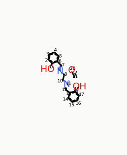 Oc1ccccc1C=NCCN=Cc1ccccc1O.[O]=[V]